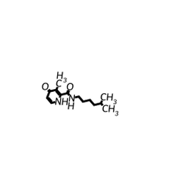 Cc1c(C(=O)NCCCCC(C)C)[nH]ccc1=O